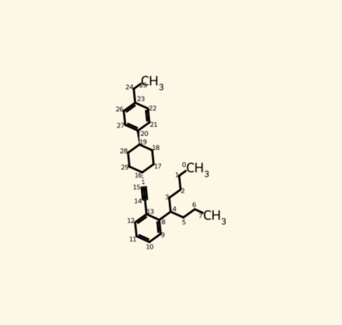 CCCCC(CCC)c1ccccc1C#C[C@H]1CC[C@H](c2ccc(CC)cc2)CC1